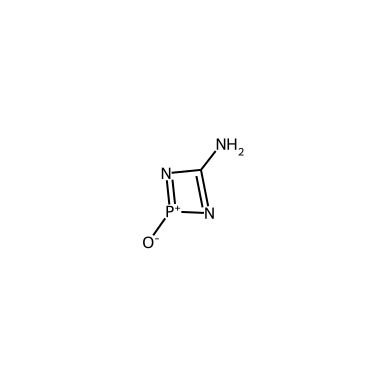 NC1=N[P+]([O-])=N1